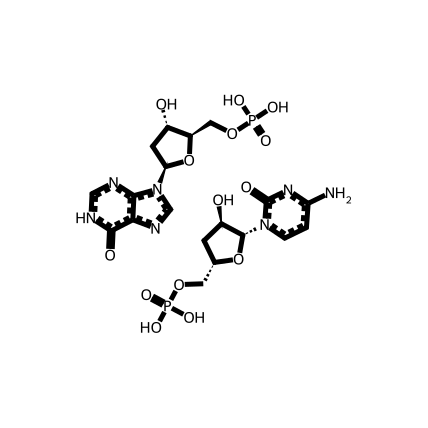 Nc1ccn([C@@H]2O[C@H](COP(=O)(O)O)C[C@H]2O)c(=O)n1.O=c1[nH]cnc2c1ncn2[C@H]1C[C@H](O)[C@@H](COP(=O)(O)O)O1